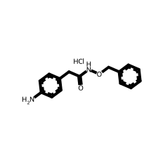 Cl.Nc1ccc(CC(=O)NOCc2ccccc2)cc1